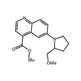 COCC1CCCN1c1ccc2nccc(C(=O)OC(C)(C)C)c2c1